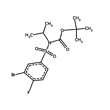 CC(C)N(C(=O)OC(C)(C)C)S(=O)(=O)c1ccc(F)c(Br)c1